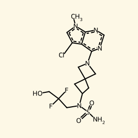 Cn1cc(Cl)c2c(N3CC4(CC(N(CC(F)(F)CO)S(N)(=O)=O)C4)C3)ncnc21